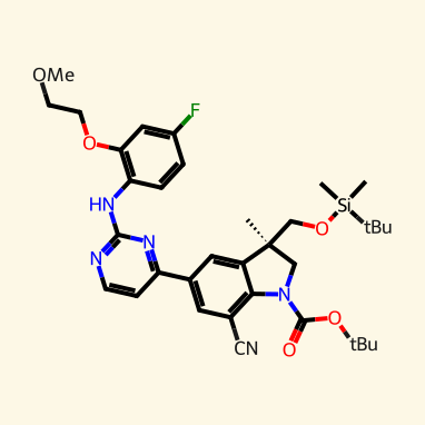 COCCOc1cc(F)ccc1Nc1nccc(-c2cc(C#N)c3c(c2)[C@@](C)(CO[Si](C)(C)C(C)(C)C)CN3C(=O)OC(C)(C)C)n1